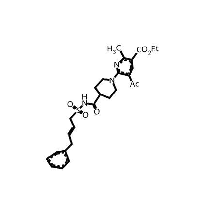 CCOC(=O)c1cc(C(C)=O)c(N2CCC(C(=O)NS(=O)(=O)CC=CCc3ccccc3)CC2)nc1C